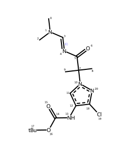 CN(C)/C=N/C(=O)C(C)(C)n1cc(NC(=O)OC(C)(C)C)c(Cl)n1